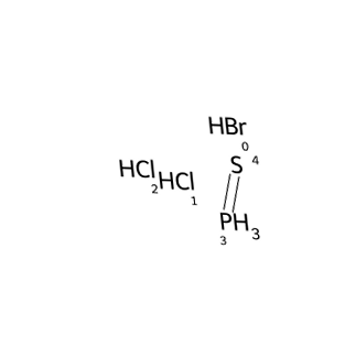 Br.Cl.Cl.[PH3]=S